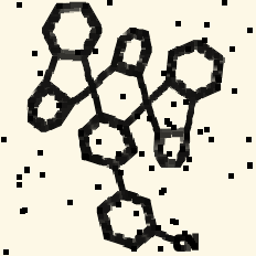 N#Cc1cccc(-c2ccc3c(c2)C2(c4ccccc4-c4ccccc42)c2ccccc2C32c3ccccc3-c3ccccc32)c1